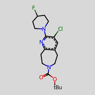 CC(C)(C)OC(=O)N1CCc2cc(Cl)c(N3CCC(F)CC3)nc2CC1